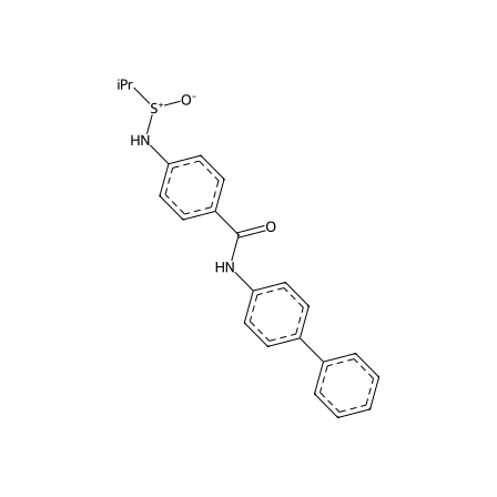 CC(C)[S+]([O-])Nc1ccc(C(=O)Nc2ccc(-c3ccccc3)cc2)cc1